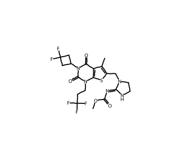 COC(=O)N=C1NCCN1Cc1sc2c(c1C)c(=O)n(C1CC(F)(F)C1)c(=O)n2CCC(F)(F)F